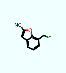 N#Cc1cc2cccc(CF)c2o1